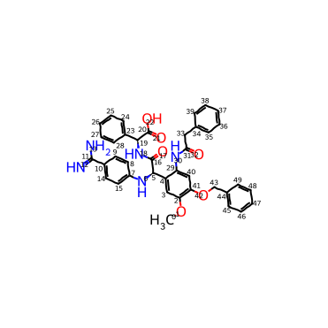 COc1cc([C@@H](Nc2ccc(C(=N)N)cc2)C(=O)N[C@H](C(=O)O)c2ccccc2)c(NC(=O)Cc2ccccc2)cc1OCc1ccccc1